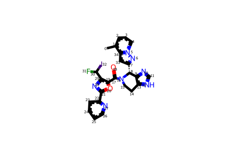 Cc1cccn2nc([C@@H]3c4nc[nH]c4CCN3C(=O)c3oc(-c4ccccn4)nc3C(F)I)cc12